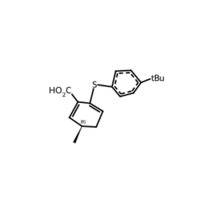 C[C@H]1C=C(C(=O)O)C(Sc2ccc(C(C)(C)C)cc2)=CC1